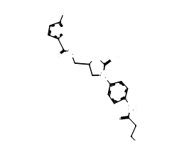 O=C(CCBr)Nc1ccc(N2CC(CNC(=O)c3ccc(Cl)s3)OC2=O)cc1